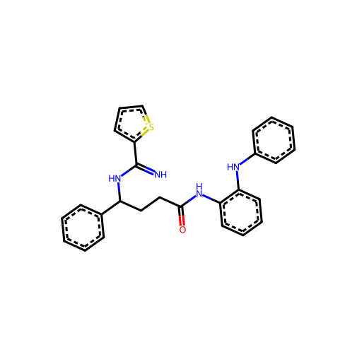 N=C(NC(CCC(=O)Nc1ccccc1Nc1ccccc1)c1ccccc1)c1cccs1